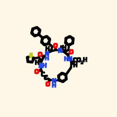 CN1C(=O)[C@H](Cc2ccc(-c3ccccc3)cc2)NC(=O)[C@@H](Cc2cccs2)NC(=O)CCC(=O)Nc2ccc(cc2)C[C@@H](C(=O)O)NC(=O)[C@H]1Cc1ccccc1